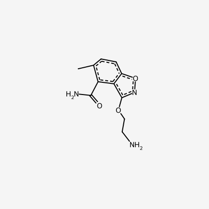 Cc1ccc2onc(OCCN)c2c1C(N)=O